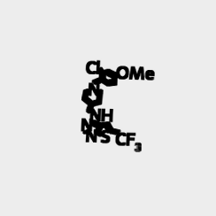 COc1ccc(CN2CCC(CNc3ncnc4sc(CC(F)(F)F)cc34)CC2)c(Cl)c1